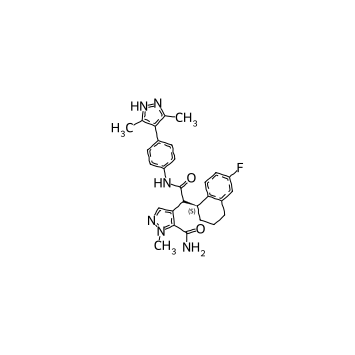 Cc1n[nH]c(C)c1-c1ccc(NC(=O)C(c2cnn(C)c2C(N)=O)[C@@H]2CCCc3cc(F)ccc32)cc1